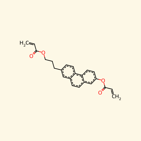 C=CC(=O)OCCCc1ccc2c(ccc3cc(OC(=O)C=C)ccc32)c1